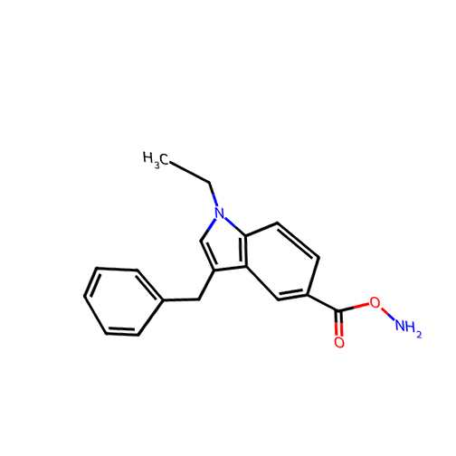 CCn1cc(Cc2ccccc2)c2cc(C(=O)ON)ccc21